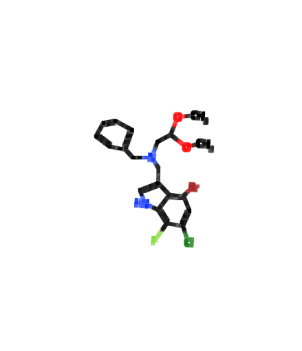 COC(CN(Cc1ccccc1)Cc1c[nH]c2c(F)c(Cl)cc(Br)c12)OC